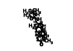 CN1C(=O)CC[C@]2(C)[C@H]3CC[C@]4(C)[C@@H](CNC(=O)NC(C)(C)C)CC[C@H]4[C@@H]3CC[C@@H]12